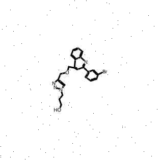 OCCCn1cc(COCc2cc(-c3cccc(Br)c3)nc3ccccc23)nn1